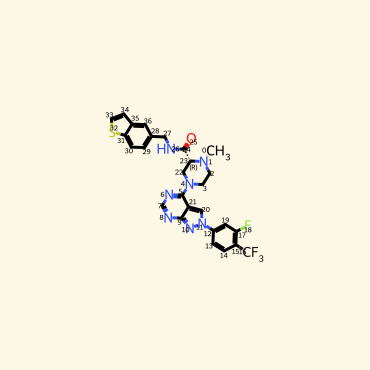 CN1CCN(c2ncnc3nn(-c4ccc(C(F)(F)F)c(F)c4)cc23)C[C@@H]1C(=O)NCc1ccc2sccc2c1